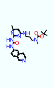 Cc1cc(NCCCN(C)C(=O)OC(C)(C)C)nc(NC(=O)Nc2ccc3cnccc3c2)n1